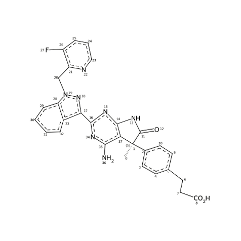 C[C@@]1(c2ccc(CCC(=O)O)cc2)C(=O)Nc2nc(-c3nn(Cc4ncccc4F)c4ccccc34)nc(N)c21